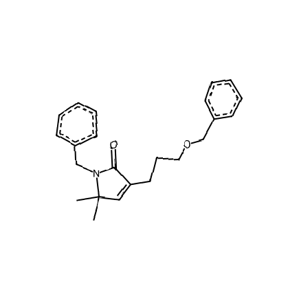 CC1(C)C=C(CCCOCc2ccccc2)C(=O)N1Cc1ccccc1